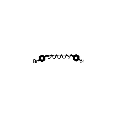 Brc1ccc(CSCOCOCOCSCc2ccc(Br)cc2)cc1